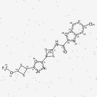 O=C(NC12CC(c3nnc(C4CC(OC(F)(F)F)C4)o3)(C1)C2)c1nc2cc(Cl)ccc2o1